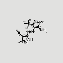 Cc1n[nH]c(N=Nc2c(C(C)(C)C)nn(C)c2N)c1C#N